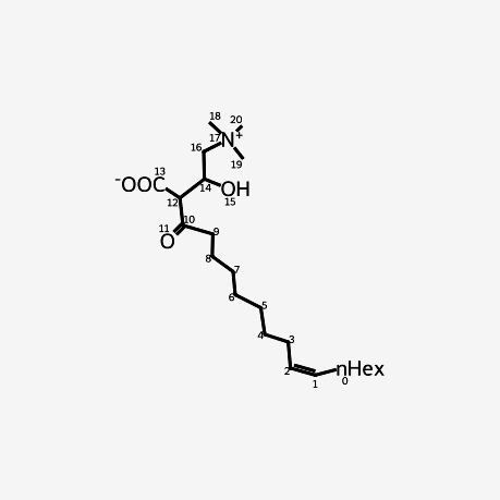 CCCCCC/C=C\CCCCCCCC(=O)C(C(=O)[O-])C(O)C[N+](C)(C)C